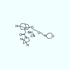 N#C[C@@H]1C[C@@H]2C[C@@H]2N1C(=O)[C@@H](N)C12CC3C[C@H](CC(OCCOCCN4CCOCC4)(C3)C1)C2